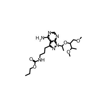 CCCOC(=O)NCCCc1nn(C(C)OC(COC)C(C)OC)c2ncnc(N)c12